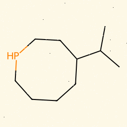 CC(C)C1CCCCPCC1